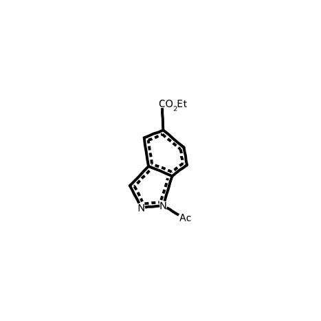 CCOC(=O)c1ccc2c(cnn2C(C)=O)c1